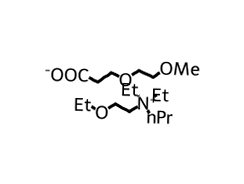 CCC[N+](CC)(CC)CCOCC.COCCOCCC(=O)[O-]